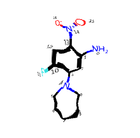 Nc1cc(N2CCCCC2)c(F)cc1[N+](=O)[O-]